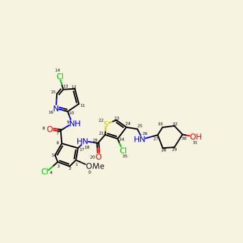 COc1cc(Cl)cc(C(=O)Nc2ccc(Cl)cn2)c1NC(=O)c1scc(CNC2CCC(O)CC2)c1Cl